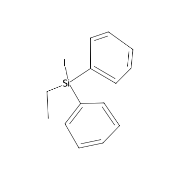 CC[Si](I)(c1ccccc1)c1ccccc1